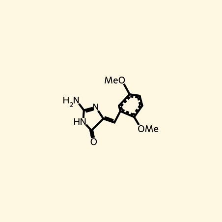 COc1ccc(OC)c(/C=C2\N=C(N)NC2=O)c1